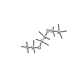 C[Si](C)(C)[Si](C)(C)O[Si](C)(C)[Si](C)(C)O[Si](C)(C)[Si](C)(C)C